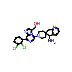 N[C@@H]1c2cccnc2CC12CCN(c1cnc(-c3cccc(Cl)c3Cl)c3ncc(CO)n13)CC2